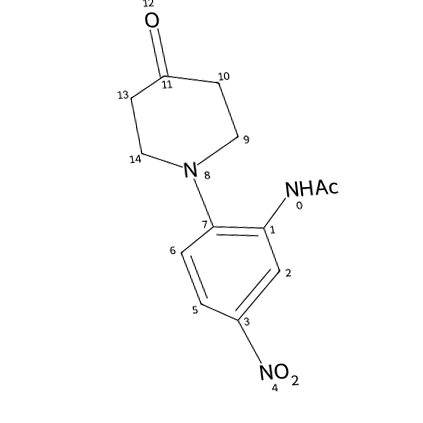 CC(=O)Nc1cc([N+](=O)[O-])ccc1N1CCC(=O)CC1